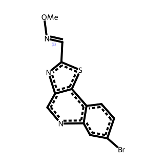 CO/N=C/c1nc2cnc3cc(Br)ccc3c2s1